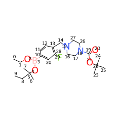 CCOB(OC(C)(C)CC)c1ccc(CN2CCN(C(=O)OC(C)(C)C)CC2)c(F)c1